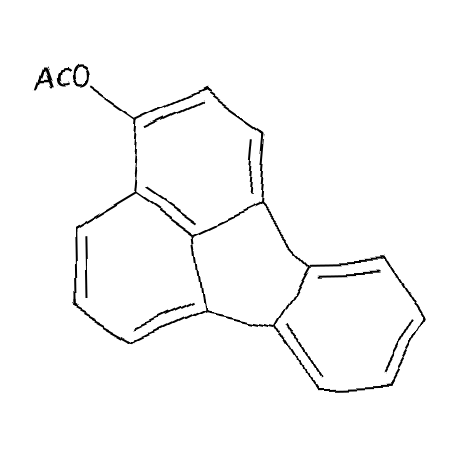 CC(=O)Oc1ccc2c3c(cccc13)-c1ccccc1-2